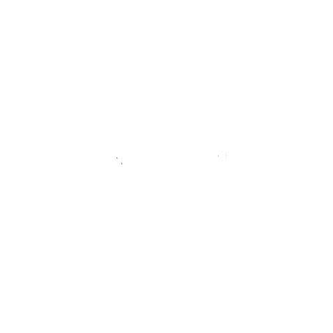 C/N=C/c1ccc(C(F)(F)F)cc1